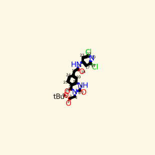 CC(C)(C)OC(=O)Cn1c(=O)[nH]c2cc(CC(=O)Nc3cc(Cl)nc(Cl)c3)ccc2c1=O